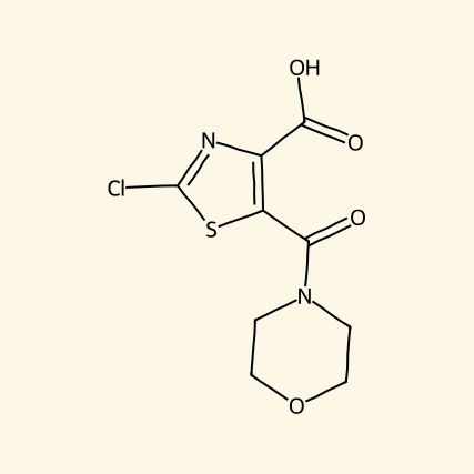 O=C(O)c1nc(Cl)sc1C(=O)N1CCOCC1